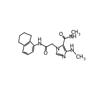 CNC(=O)c1c(NC)ncn1CC(=O)Nc1cccc2c1CCCC2